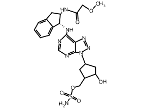 COCC(=O)N[C@H]1Cc2ccccc2[C@H]1Nc1ncnc2c1nnn2C1CC(O)C(COS(N)(=O)=O)C1